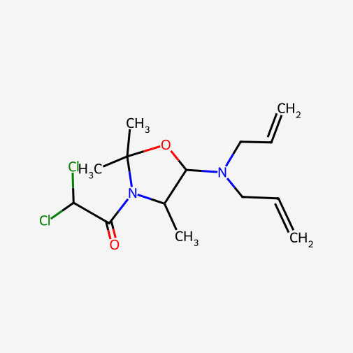 C=CCN(CC=C)C1OC(C)(C)N(C(=O)C(Cl)Cl)C1C